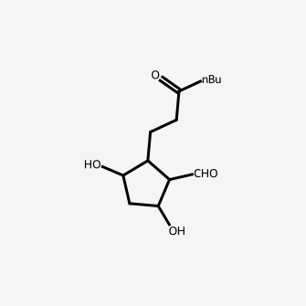 CCCCC(=O)CCC1C(O)CC(O)C1C=O